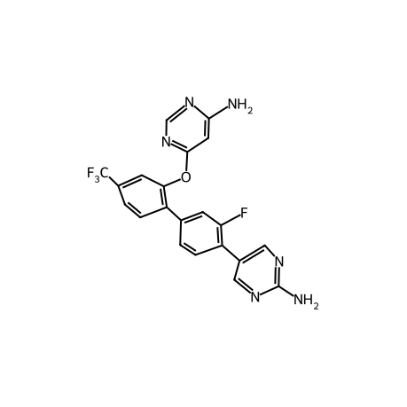 Nc1cc(Oc2cc(C(F)(F)F)ccc2-c2ccc(-c3cnc(N)nc3)c(F)c2)ncn1